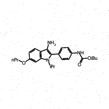 CCCOc1ccc2c(N)c(-c3ccc(NC(=O)OCC(C)C)cc3)n(C(C)C)c2c1